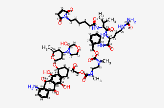 CC(C)[C@H](NC(=O)CCCCCN1C(=O)C=CC1=O)C(=O)N[C@@H](CCCNC(N)=O)C(=O)Nc1ccccc1COC(=O)N(C)CCN(C)C(=O)OCC(=O)[C@@H]1Cc2c(O)c3c(c(O)c2C(O[C@H]2C[C@H](N4CCOC[C@H]4O)C[C@H](C)O2)C1)C(=O)c1c(N)cccc1C3=O